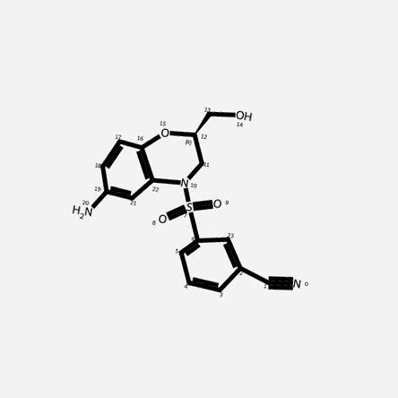 N#Cc1cccc(S(=O)(=O)N2C[C@H](CO)Oc3ccc(N)cc32)c1